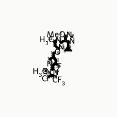 COc1ncnc(C2CC2)c1-c1nc(C)cc(OCc2cnc(-c3nc(C(F)(F)F)c(Cl)n3C)c(F)c2)n1